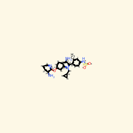 Cc1cc(N[SH](=O)=O)ccc1-c1c(N)c2ccc(Oc3ncccc3N)cc2n1CC1CC1